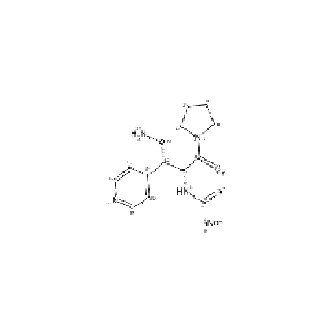 CCCCCCCCCC(=O)N[C@@H](C(=O)N1CCCC1)[C@@H](ON)c1ccncc1